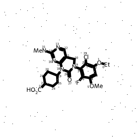 CCOc1cc(OC)c(F)c(N2Cc3cnc(NC)nc3N(C3CCC(C(=O)O)CC3)C2=O)c1Cl